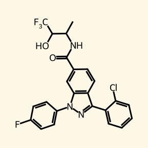 CC(NC(=O)c1ccc2c(-c3ccccc3Cl)nn(-c3ccc(F)cc3)c2c1)C(O)C(F)(F)F